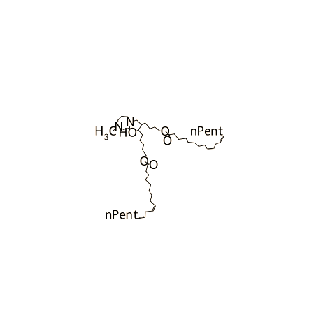 CCCCC/C=C\C/C=C\CCCCCCCC(=O)OCCCCCC(O)C(CCCCOC(=O)CCCCCCC/C=C\C/C=C\CCCCC)CN1CCCN(C)CC1